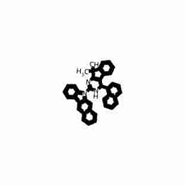 CC1(C)C2=C(c3ccccc31)C(c1cccc3ccccc13)NC(n1c3ccccc3c3cc4ccccc4cc31)=N2